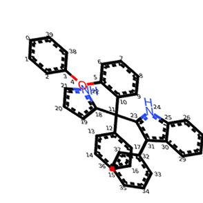 c1ccc(Oc2ccccc2C(c2ccccc2)(c2ccc[nH]2)c2[nH]c3ccccc3c2-c2ccccc2)cc1